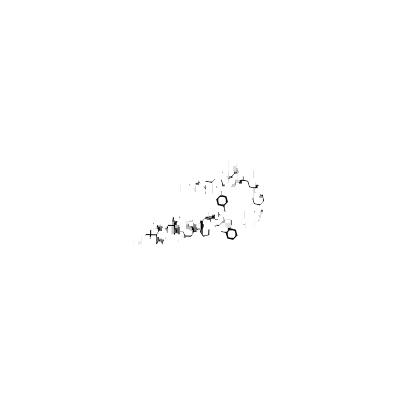 CCCC(C)CNC(=O)[C@H]1CCN(C(=O)CCC(=O)N[C@H](C(=O)N[C@@H](CCCNC(N)=O)C(=O)Nc2ccc(CNC(=O)[C@H](Cc3ccccc3)NC(=O)[C@H](C)[C@@H](OC)[C@@H]3CCCN3C(=O)C[C@@H](OC)[C@H]([C@@H](C)CC)N(C)C(=O)[C@@H](NC(=O)[C@@H](N(C)C)C(C)(C)CCC)C(C)C)cc2)C(C)C)[C@@H](C)C1